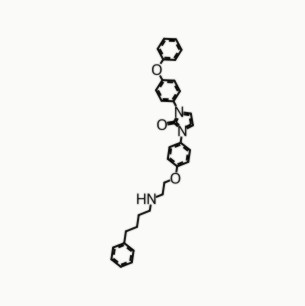 O=c1n(-c2ccc(OCCNCCCCc3ccccc3)cc2)ccn1-c1ccc(Oc2ccccc2)cc1